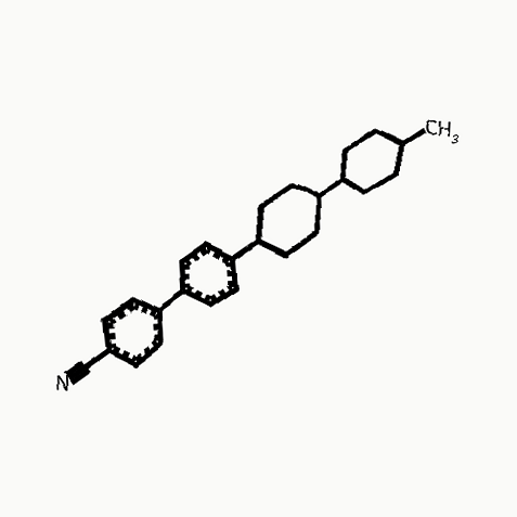 CC1CCC(C2CCC(c3ccc(-c4ccc(C#N)cc4)cc3)CC2)CC1